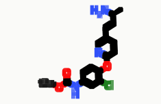 C[C@H](N)/C=C/c1ccc(Oc2ccc(NC(=O)OC(C)(C)C)cc2Cl)nc1